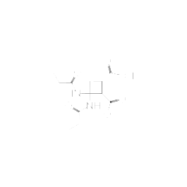 CCC(=O)NC1(NC(=O)CC)CC(C(=O)O)C1C(=O)O